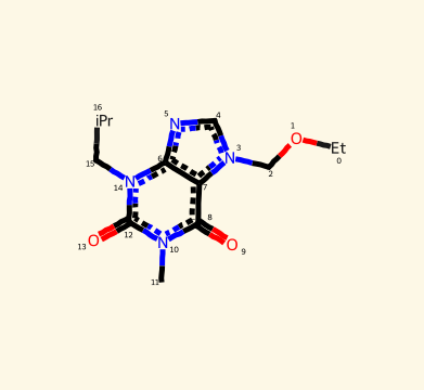 CCOCn1cnc2c1c(=O)n(C)c(=O)n2CC(C)C